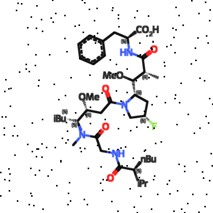 CCCC[C@H](C(=O)NCC(=O)N(C)[C@@H]([C@@H](C)CC)[C@@H](CC(=O)N1C[C@@H](F)C[C@H]1C(OC)[C@@H](C)C(=O)N[C@@H](Cc1ccccc1)C(=O)O)OC)C(C)C